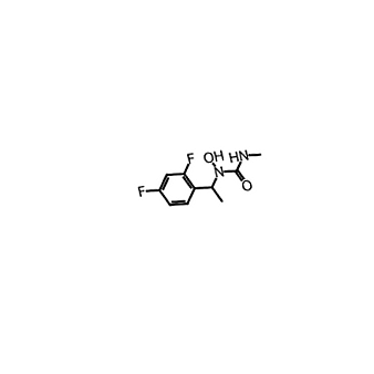 CNC(=O)N(O)C(C)c1ccc(F)cc1F